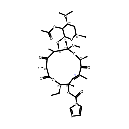 CC[C@H]1OC(=O)[C@H](C)C(=O)C(C)[C@@H](O[C@@H]2O[C@H](C)C[C@H](N(C)C)C2OC(C)=O)[C@](C)(OC)C[C@@H](C)C(=O)/C(C)=C/[C@]1(C)OC(=O)n1ccnc1